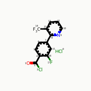 Cl.O=C(Cl)c1ccc(-c2ncccc2C(F)(F)F)cc1F